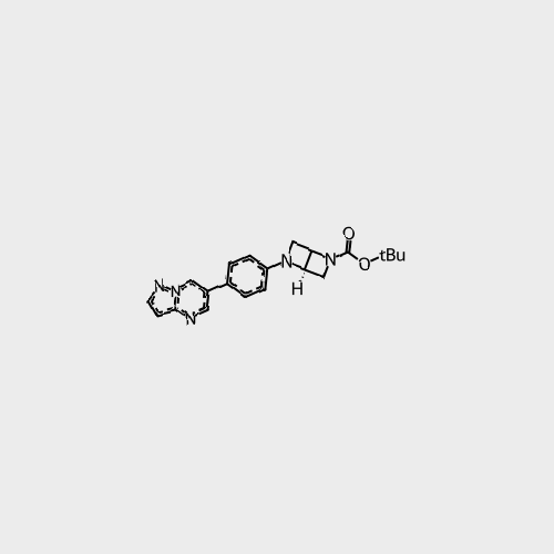 CC(C)(C)OC(=O)N1C[C@@H]2C1CN2c1ccc(-c2cnc3ccnn3c2)cc1